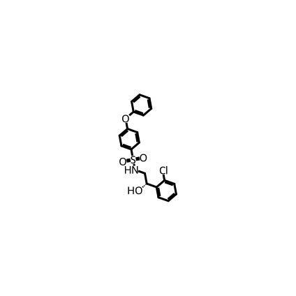 O=S(=O)(NC[C@@H](O)c1ccccc1Cl)c1ccc(Oc2ccccc2)cc1